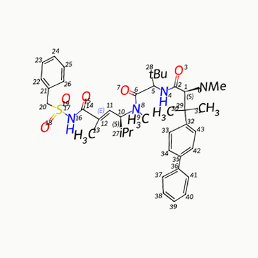 CN[C@H](C(=O)NC(C(=O)N(C)[C@H](/C=C(\C)C(=O)NS(=O)(=O)Cc1ccccc1)C(C)C)C(C)(C)C)C(C)(C)c1ccc(-c2ccccc2)cc1